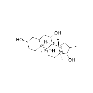 CC1C[C@H]2[C@@H]3C(O)CC4CC(O)CC[C@]4(C)[C@@H]3CC[C@]2(C)C1O